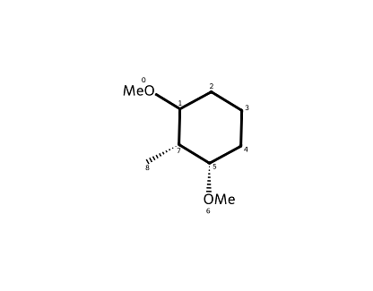 COC1CCC[C@H](OC)[C@@H]1C